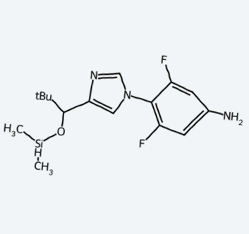 C[SiH](C)OC(c1cn(-c2c(F)cc(N)cc2F)cn1)C(C)(C)C